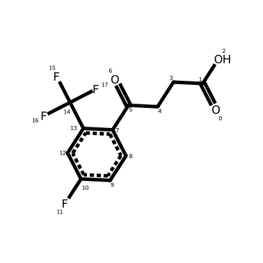 O=C(O)CCC(=O)c1ccc(F)cc1C(F)(F)F